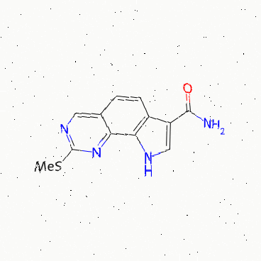 CSc1ncc2ccc3c(C(N)=O)c[nH]c3c2n1